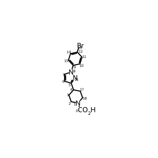 O=C(O)N1CCC(c2ccn(-c3ccc(Br)cc3)n2)CC1